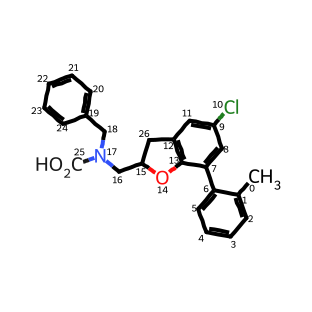 Cc1ccccc1-c1cc(Cl)cc2c1OC(CN(Cc1ccccc1)C(=O)O)C2